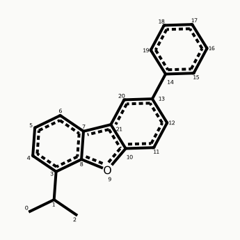 CC(C)c1cccc2c1oc1ccc(-c3ccccc3)cc12